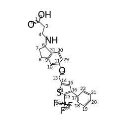 O=C(O)CCNC1CCc2cc(OCc3cc(-c4ccccc4)c(C(F)(F)F)s3)ccc21